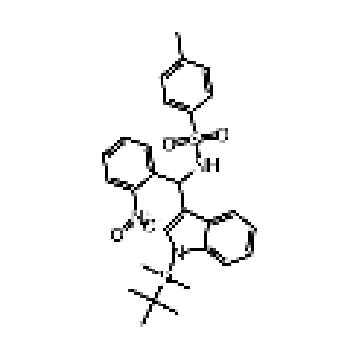 Cc1ccc(S(=O)(=O)NC(c2ccccc2[N+](=O)[O-])c2cn([Si](C)(C)C(C)(C)C)c3ccccc23)cc1